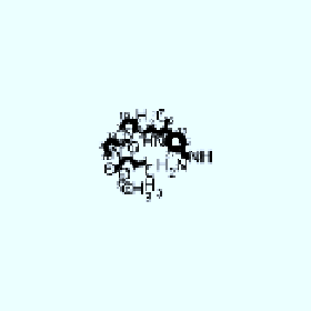 CCCCC(C(=O)OCC)N1CCC[C@@H]1C(=O)N1CCC[C@H]1CCc1[nH]c2cc(C(=N)N)ccc2c1CC